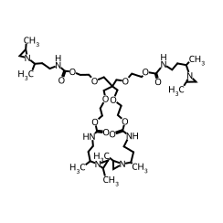 CC(CCNC(=O)OCCOCC(COCCOC(=O)NCCC(C)N1CC1C)(COCCOC(=O)NCCC(C)N1CC1C)COCCOC(=O)NCCC(C)N1CC1C)N1CC1C